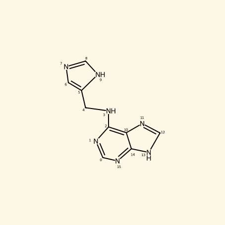 c1nc(NCc2cnc[nH]2)c2nc[nH]c2n1